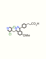 COc1ccc2c(Cc3c(Cl)cncc3Cl)nnc(-c3ccc(CCC(=O)O)cc3)c2c1